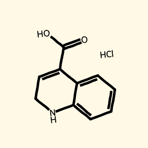 Cl.O=C(O)C1=CCNc2ccccc21